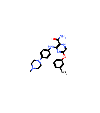 CN1CCN(c2ccc(Nc3nc(Oc4cccc([N+](=O)[O-])c4)cnc3C(N)=O)cc2)CC1